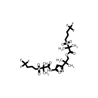 CC(C)(COC(=O)C(C)(C)S(=O)(=O)CCCC(F)(F)F)c1cc(NC(=O)C(C)(C)S(=O)(=O)CCCC(F)(F)F)on1